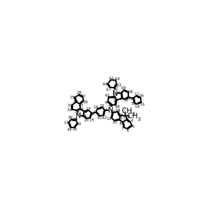 CC1(C)c2ccccc2-c2ccc(N(c3ccc(-c4ccc5c(c4)c4c6ccccc6ccc4n5-c4ccccc4)cc3)c3ccc4c(c3)c3cc(-c5ccccc5)ccc3n4C3=CCCC=C3)cc21